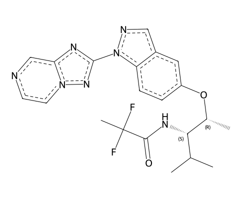 CC(C)[C@H](NC(=O)C(C)(F)F)[C@@H](C)Oc1ccc2c(cnn2-c2nc3cnccn3n2)c1